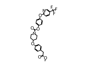 COC(=O)Cc1ccc(OC2CCN(C(=O)Oc3ccc(Oc4ccc(C(F)(F)F)cn4)cc3)CC2)cc1